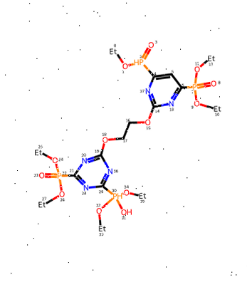 CCO[PH](=O)c1cc(P(=O)(OCC)OCC)nc(OCCOc2nc(P(=O)(OCC)OCC)nc([PH](O)(OCC)OCC)n2)n1